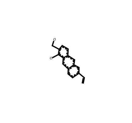 C=Cc1ccc2cc3c(Cl)c(CCl)ccc3cc2c1